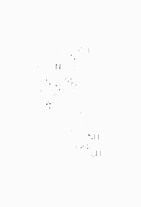 C=N/C=C(\N1C=CC=CC1)[S+]([O-])n1ncc2ncc(-c3ccc(N[S+](C)[O-])cc3)cc21